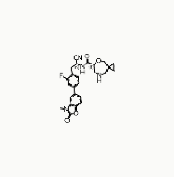 Cn1c(=O)oc2ccc(-c3ccc(C[C@@H](C#N)NC(=O)[C@@H]4CNCC5(CC5)CO4)c(F)c3)cc21